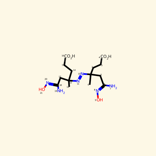 CC(CCC(=O)O)(CC(N)=NO)N=NC(C)(CCC(=O)O)CC(N)=NO